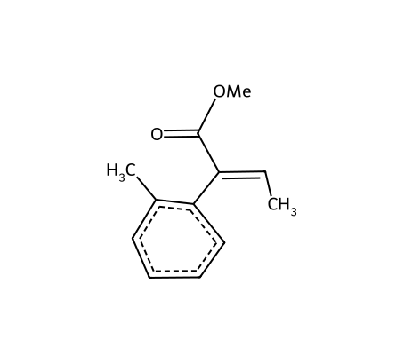 C/C=C(/C(=O)OC)c1ccccc1C